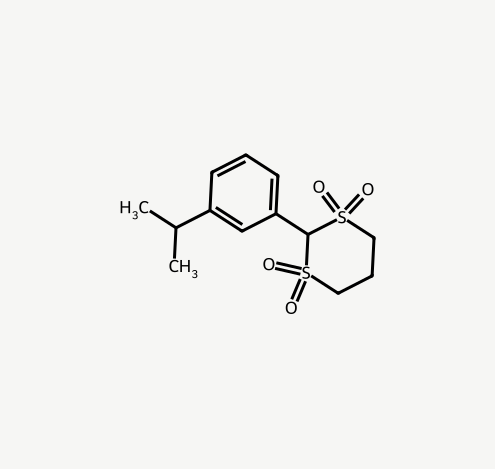 CC(C)c1cccc(C2S(=O)(=O)CCCS2(=O)=O)c1